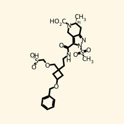 C[C@@H]1Cc2nn(S(C)(=O)=O)c(C(=O)NCCC3(COC[SH](=O)=O)CC(OCc4ccccc4)C3)c2CN1C(=O)O